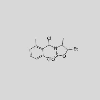 CCC1OS(=O)N(C(Cl)c2c(C)cccc2Cl)C1C